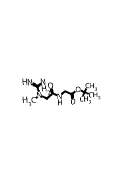 CN(CC(=O)NCC(=O)OC(C)(C)C)C(=N)N